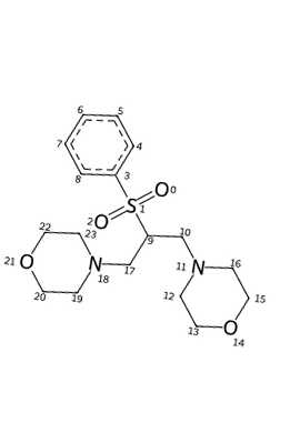 O=S(=O)(c1ccccc1)C(CN1CCOCC1)CN1CCOCC1